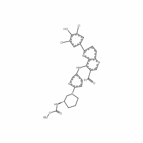 CCC(=O)c1cnc2ccc(-c3cc(Cl)c(O)c(Cl)c3)nc2c1Nc1ccc(N2CCC[C@@H](NC(=O)OC(C)(C)C)C2)nc1